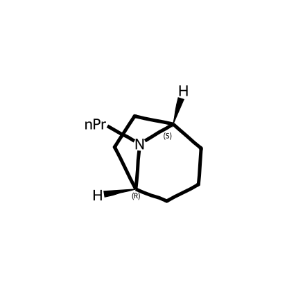 CCCN1[C@@H]2CCC[C@H]1CC2